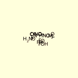 CC(C)C(=O)N1CCC(NCc2ccc(-n3cc4cccc(C(N)=O)c4n3)cc2)CC1.O=C(O)C(F)(F)F